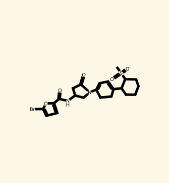 CS(=O)(=O)C1CCCCC1C1=CC=C(N2CC(NC(=O)c3ccc(Br)o3)CC2=O)CC1